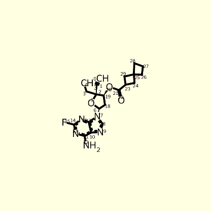 C#C[C@]1(CC)O[C@@H](n2cnc3c(N)nc(F)nc32)C[C@@H]1OC(=O)C1CC2(CCC2)C1